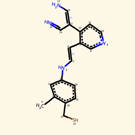 Cc1cc(N/C=C/c2cnccc2/C(C=N)=C/N)ccc1CS